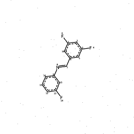 Fc1cc(F)cc(C=Nc2cccc(F)c2)c1